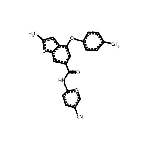 Cc1ccc(Oc2cc(C(=O)Nc3ccc(C#N)cn3)cc3oc(C)cc23)cc1